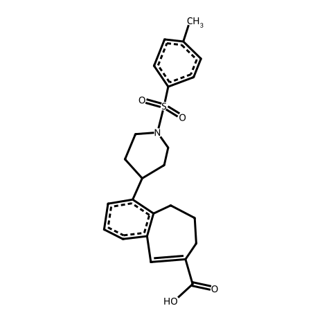 Cc1ccc(S(=O)(=O)N2CCC(c3cccc4c3CCCC(C(=O)O)=C4)CC2)cc1